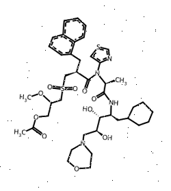 COC(COC(C)=O)CS(=O)(=O)C[C@@H](Cc1cccc2ccccc12)C(=O)N(c1cscn1)[C@@H](C)C(=O)N[C@@H](CC1CCCCC1)[C@@H](O)[C@@H](O)CN1CCOCC1